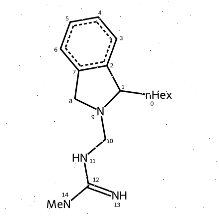 CCCCCCC1c2ccccc2CN1CNC(=N)NC